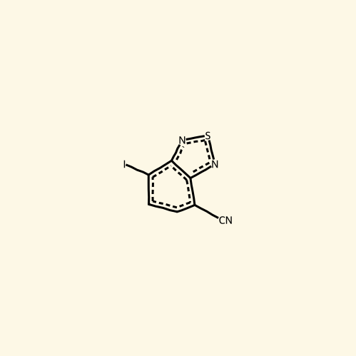 N#Cc1ccc(I)c2nsnc12